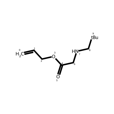 C=CCOC(=O)CNCC(C)(C)C